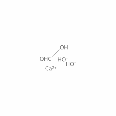 O=CO.[Ca+2].[OH-].[OH-]